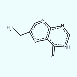 NCc1cnc2nc[nH]c(=O)c2n1